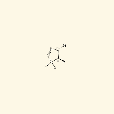 CC[C@H]1N=CC(F)(F)[C@@H]1C